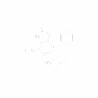 CCC(OC)S(=N)(=O)c1nc(N)c2[nH]c(=O)n(Cc3ccccc3)c2n1